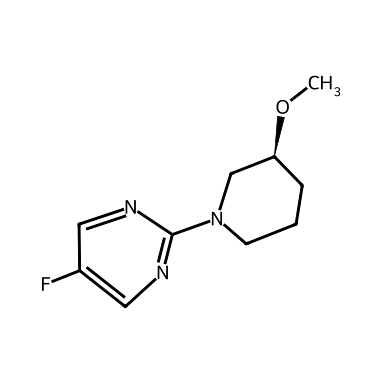 CO[C@H]1CCCN(c2ncc(F)cn2)C1